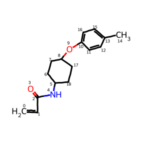 C=CC(=O)NC1CCC(Oc2ccc(C)cc2)CC1